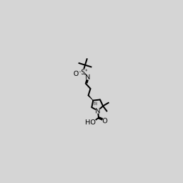 CC1(C)C[C@H](CCC=N[S+]([O-])C(C)(C)C)CN1C(=O)O